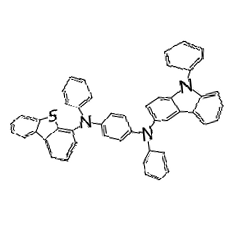 c1ccc(N(c2ccc(N(c3ccccc3)c3cccc4c3sc3ccccc34)cc2)c2ccc3c(c2)c2ccccc2n3-c2ccccc2)cc1